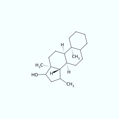 CC1CC(O)[C@@]2(C)CC[C@@H]3[C@@H](CCC4CCCC[C@@]43C)[C@H]12